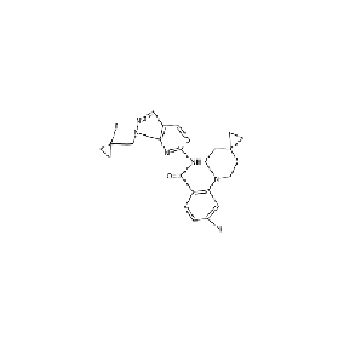 O=C(Nc1ccc2cnn(CC3(F)CC3)c2n1)c1ccc(I)cc1N1CCC2(CC1)CC2